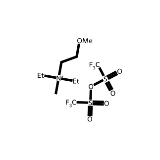 CC[N+](C)(CC)CCOC.O=S(=O)(OS(=O)(=O)C(F)(F)F)C(F)(F)F